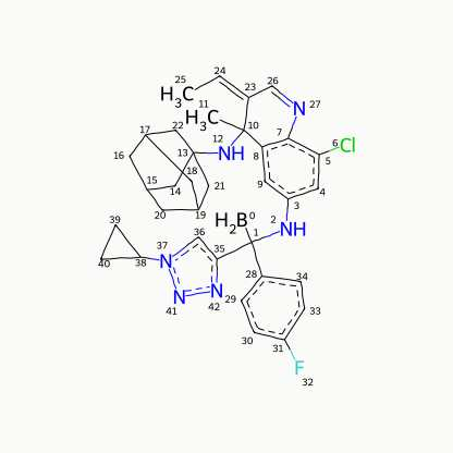 BC(Nc1cc(Cl)c2c(c1)C(C)(NC13CC4CC(CC(C4)C1)C3)/C(=C\C)C=N2)(c1ccc(F)cc1)c1cn(C2CC2)nn1